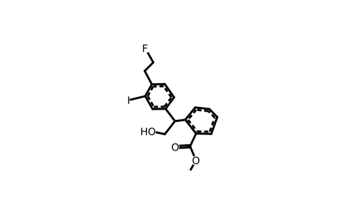 COC(=O)c1ccccc1C(CO)c1ccc(CCF)c(I)c1